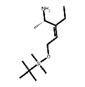 CCC(=CCO[Si](C)(C)C(C)(C)C)[C@H](C)N